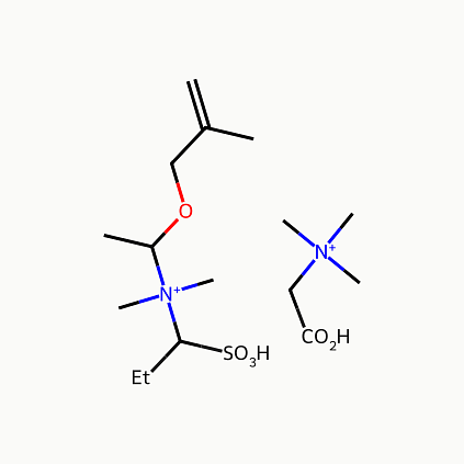 C=C(C)COC(C)[N+](C)(C)C(CC)S(=O)(=O)O.C[N+](C)(C)CC(=O)O